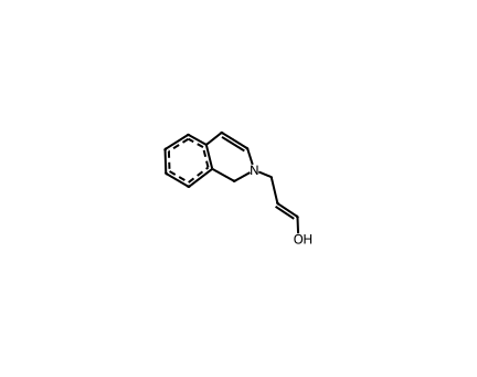 OC=CCN1C=Cc2ccccc2C1